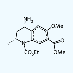 CCOC(=O)N1c2cc(C(=O)OC)c(OC)cc2[C@@H](N)C[C@H]1C